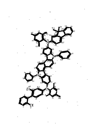 CCc1ccccc1-c1ccc(N(c2ccc3c4c5ccc6c(c5ccc4n(-c4ccccc4)c3c2)c2ccc(N(c3ccc4c(c3)C(C)(C)c3ccccc3-4)c3c(C)cc(C)cc3C)cc2n6-c2ccccc2)c2c(C)cc(C)cc2C)cc1CC